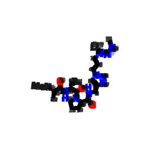 CCN(CCCn1cc(CNC(=O)[C@H]2CCCN2C(=O)[C@@H](NC(=O)[C@H](C)NC)C(C)(C)C)nn1)/N=N\C